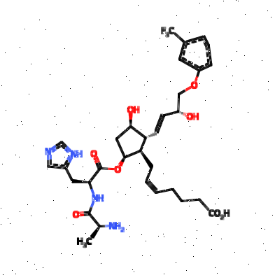 C[C@H](N)C(=O)N[C@@H](Cc1cnc[nH]1)C(=O)O[C@H]1C[C@@H](O)[C@H](/C=C/[C@@H](O)COc2cccc(C(F)(F)F)c2)[C@H]1C/C=C\CCCC(=O)O